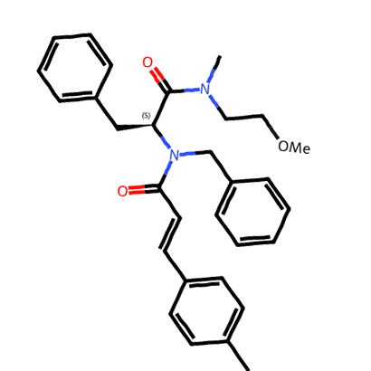 COCCN(C)C(=O)[C@H](Cc1ccccc1)N(Cc1ccccc1)C(=O)C=Cc1ccc(C)cc1